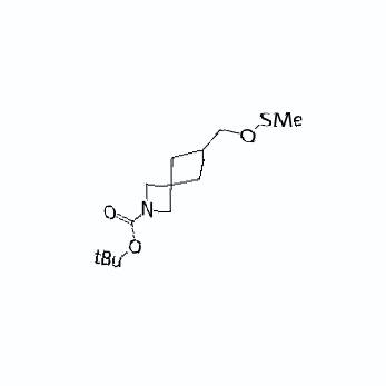 CSOCC1CC2(C1)CN(C(=O)OC(C)(C)C)C2